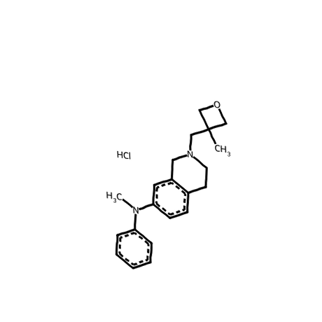 CN(c1ccccc1)c1ccc2c(c1)CN(CC1(C)COC1)CC2.Cl